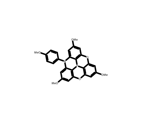 COc1ccc(N2c3cc(OC)cc4c3P3c5c(cc(OC)cc5Oc5cc(OC)cc2c53)O4)cc1